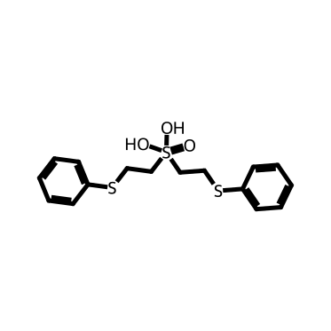 O=S(O)(O)(CCSc1ccccc1)CCSc1ccccc1